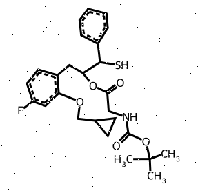 CC(C)(C)OC(=O)NCC(=O)OC(Cc1ccc(F)cc1OCC1CC1)C(S)c1ccccc1